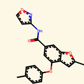 Cc1ccc(Oc2cc(C(=O)Nc3ccon3)cc3oc(C)cc23)cc1